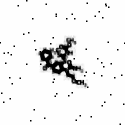 COCCN(C(N)=O)c1ccc(C(=O)c2ccccc2)cc1N=C(NC(=O)OC)SC